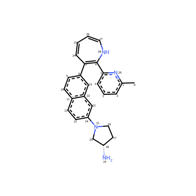 Cc1cccc(C2=C(c3ccc4ccc(N5CC[C@H](N)C5)cc4c3)C=CC=CN2)n1